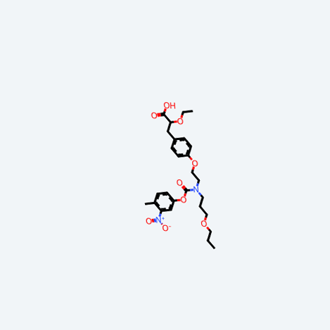 CCCOCCCN(CCOc1ccc(CC(OCC)C(=O)O)cc1)C(=O)Oc1ccc(C)c([N+](=O)[O-])c1